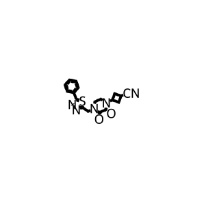 N#CC1CC(N2CCN(Cc3nnc(-c4ccccc4)s3)C(=O)C2=O)C1